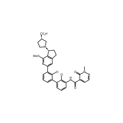 COc1nc(-c2cccc(-c3cccc(NC(=O)c4ccnn(C)c4=O)c3Cl)c2Cl)cc2c1[C@@H](N1CC[C@@H](C(=O)O)C1)CC2